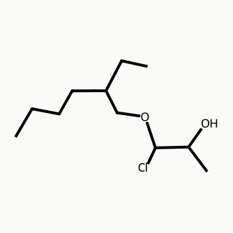 CCCCC(CC)COC(Cl)C(C)O